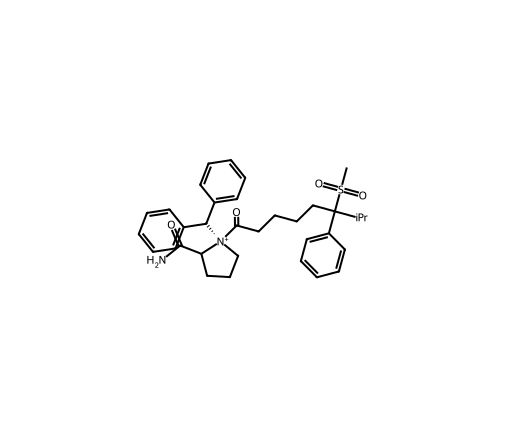 CC(C)C(CCCCC(=O)[N@@+]1(C(c2ccccc2)c2ccccc2)CCCC1C(N)=O)(c1ccccc1)S(C)(=O)=O